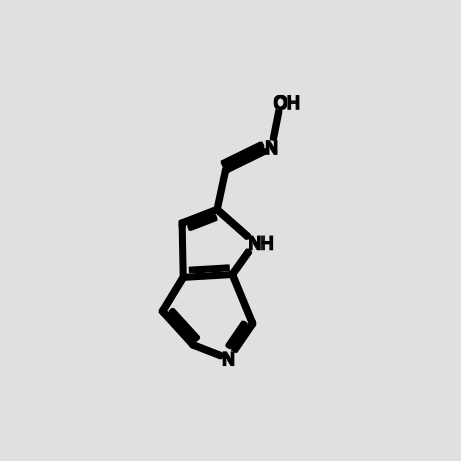 O/N=C/c1cc2ccncc2[nH]1